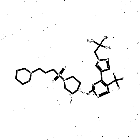 CC(C)(O)Cn1cc(-c2nc(N[C@H]3CCN(S(=O)(=O)CCCN4CCCCC4)C[C@H]3F)ncc2C(F)(F)F)cn1